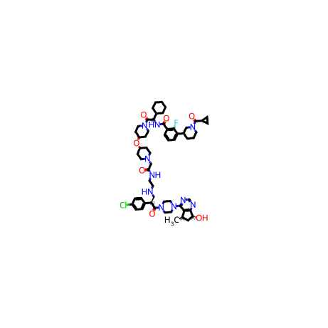 C[C@@H]1C[C@@H](O)c2ncnc(N3CCN(C(=O)[C@H](CNCCNC(=O)CN4CCC(OC5CCN(C(=O)[C@H](NC(=O)c6cccc(C7CCCN(C(=O)C8CC8)C7)c6F)C6CCCCC6)CC5)CC4)c4ccc(Cl)cc4)CC3)c21